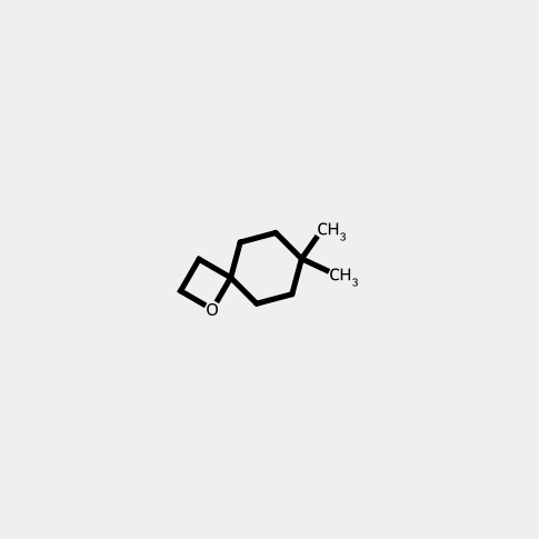 CC1(C)CCC2(CCO2)CC1